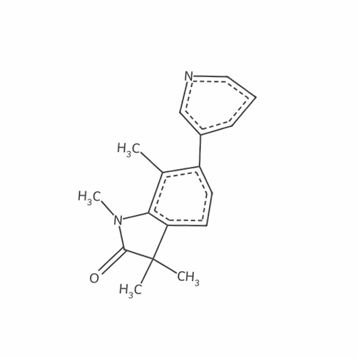 Cc1c(-c2cccnc2)ccc2c1N(C)C(=O)C2(C)C